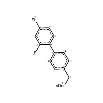 CCCCCCCCCCCc1ccc(-c2ccc(CC)cc2F)cc1